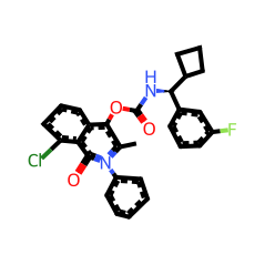 Cc1c(OC(=O)N[C@H](c2cccc(F)c2)C2CCC2)c2cccc(Cl)c2c(=O)n1-c1ccccc1